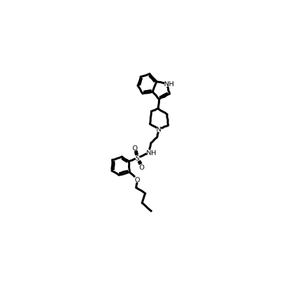 CCCCOc1ccccc1S(=O)(=O)NCCN1CCC(c2c[nH]c3ccccc23)CC1